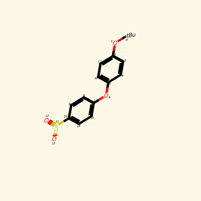 CC(C)(C)Oc1ccc(Oc2ccc([SH](=O)=O)cc2)cc1